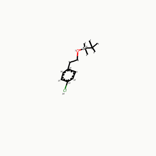 CC(C)(C)[Si](C)(C)OC[CH]c1ccc(Cl)cc1